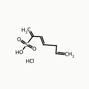 C=CCC=CC(=C)S(=O)(=O)O.Cl